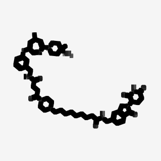 CC1C=C(Sc2cccc(CNC(=O)CCC(=O)N3CCN(CCCCCCCCC(=O)NCc4ccc5c(c4)CN(C4CCC(=O)NC4=O)C5=O)CC3)c2)C=NC(N2CCC(C)(N)CC2)=C1